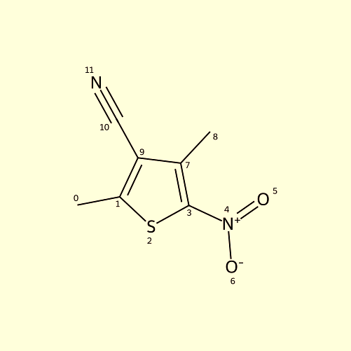 Cc1sc([N+](=O)[O-])c(C)c1C#N